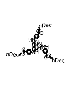 CCCCCCCCCCCCOC(=O)c1ccc(NC2=NC3=NC(Nc4ccc(C(=O)OCCCCCCCCCCCC)cc4)=NC4=NC(Nc5ccc(C(=O)OCCCCCCCCCCCC)cc5)=NC(=N2)N34)cc1